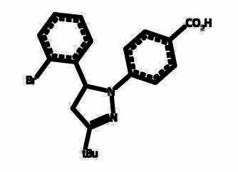 CC(C)(C)C1=NN(c2ccc(C(=O)O)cc2)C(c2ccccc2Br)C1